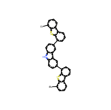 CCc1cccc2c1sc1c(-c3ccc4[nH]c5ccc(-c6cccc7c6sc6c(C(C)CC)cccc67)cc5c4c3)cccc12